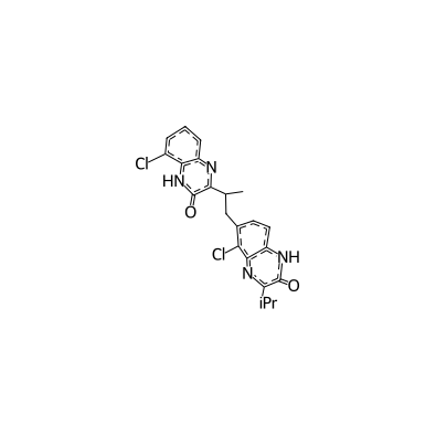 CC(C)c1nc2c(Cl)c(CC(C)c3nc4cccc(Cl)c4[nH]c3=O)ccc2[nH]c1=O